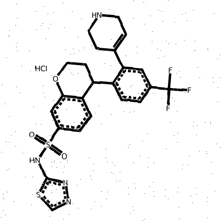 Cl.O=S(=O)(Nc1nncs1)c1ccc2c(c1)OCCC2c1ccc(C(F)(F)F)cc1C1=CCNCC1